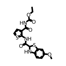 CCOC(=O)NC(=O)c1ccsc1NC(=O)C1Nc2ccc(OC)cc2S1